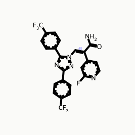 NC(=O)/C(=C/n1nc(-c2ccc(C(F)(F)F)cc2)nc1-c1ccc(C(F)(F)F)cc1)c1ccnc(F)c1